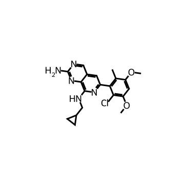 COc1cc(OC)c(Cl)c(-c2cc3cnc(N)nc3c(NCC3CC3)n2)c1C